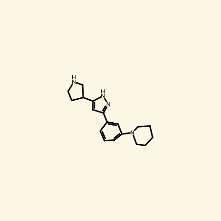 c1cc(-c2cc(C3CCNC3)[nH]n2)cc(N2CCCCC2)c1